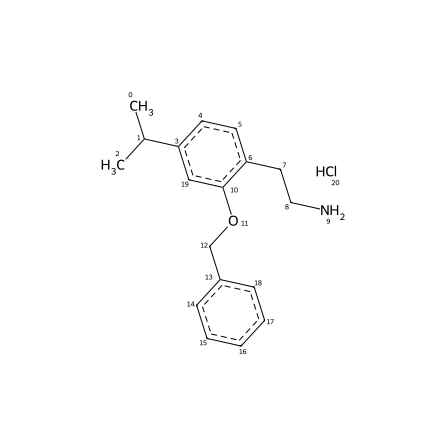 CC(C)c1ccc(CCN)c(OCc2ccccc2)c1.Cl